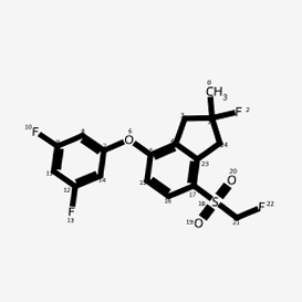 CC1(F)Cc2c(Oc3cc(F)cc(F)c3)ccc(S(=O)(=O)CF)c2C1